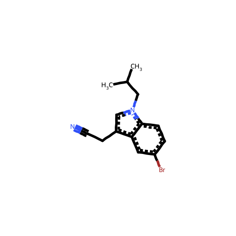 C[C](C)Cn1cc(CC#N)c2cc(Br)ccc21